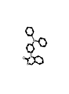 O=c1ncc2ccccc2[nH]1.c1ccc(N(c2ccccc2)c2ccccc2)cc1